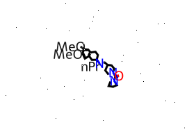 CCCN(CC1CCN(C(=O)N2CCCC2)CC1)C1CCc2cc(OC)c(OC)cc2C1